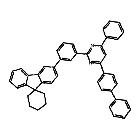 c1ccc(-c2ccc(-c3cc(-c4ccccc4)nc(-c4cccc(-c5ccc6c(c5)-c5ccccc5C65CCCCC5)c4)n3)cc2)cc1